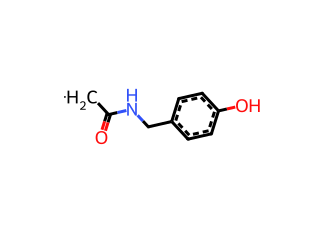 [CH2]C(=O)NCc1ccc(O)cc1